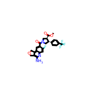 COC(=O)[C@@H]1CN(C(=O)c2cc3c4c(c(N)nc3cc2F)COC4)C[C@H]1c1ccc(C(F)(F)F)cc1